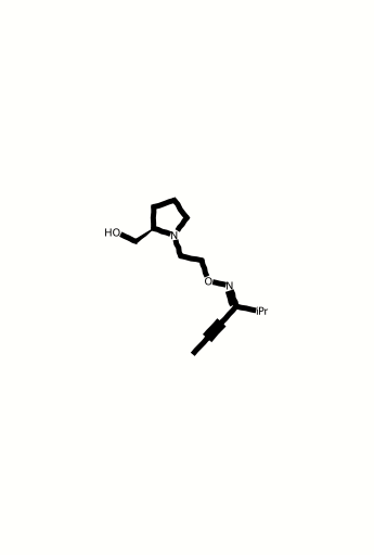 CC#C/C(=N\OCCN1CCC[C@@H]1CO)C(C)C